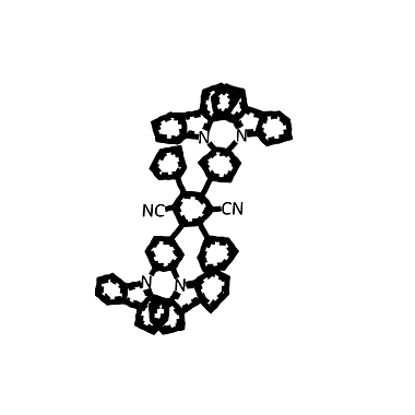 N#Cc1c(-c2ccccc2)c(-c2ccc(-n3c4ccccc4c4ccccc43)c(-n3c4ccccc4c4ccccc43)c2)c(C#N)c(-c2ccccc2)c1-c1ccc(-n2c3ccccc3c3ccccc32)c(-n2c3ccccc3c3ccccc32)c1